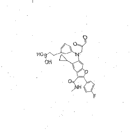 CNC(=O)c1c(-c2ccc(F)cc2)oc2cc(N(CC(=O)C=O)c3cccc(CCB(O)O)c3)c(C3CC3)cc12